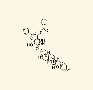 C[C@H]1CC[C@@]2(OC1)O[C@H]1C[C@H]3[C@@H]4CC[C@@H]5C[C@@H](O[C@H](O)/C(O)=C(/OC(=O)c6ccccc6)[C@@H](O)CCOC(=O)c6ccccc6)CC[C@]5(C)[C@H]4CC[C@]3(C)[C@H]1[C@@H]2C